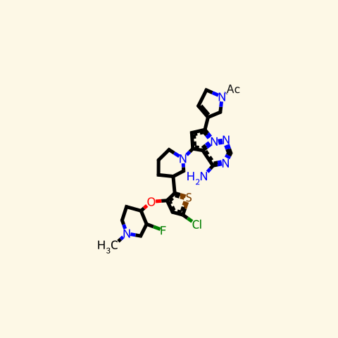 CC(=O)N1CC=C(c2cc(N3CCCC(c4sc(Cl)cc4OC4CCN(C)CC4F)C3)c3c(N)ncnn23)C1